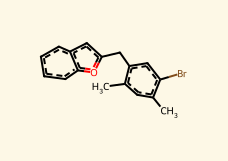 Cc1cc(C)c(Cc2cc3ccccc3o2)cc1Br